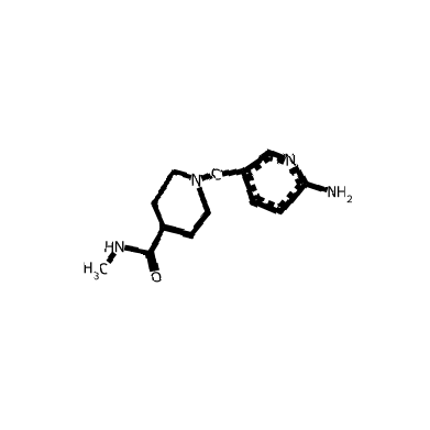 CNC(=O)C1CCN(Cc2ccc(N)nc2)CC1